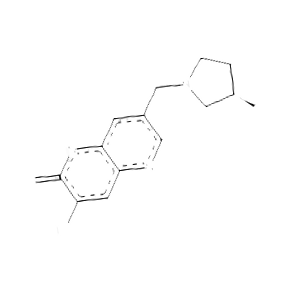 CCc1cc2ncc(CN3CC[C@@H](F)C3)cc2[nH]c1=O